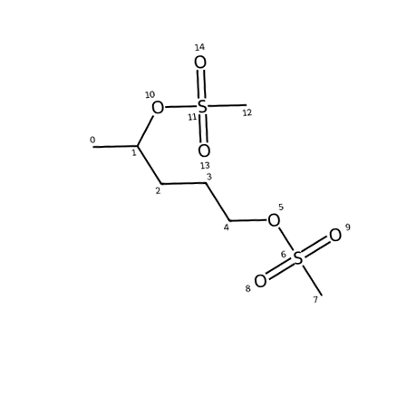 CC(CCCOS(C)(=O)=O)OS(C)(=O)=O